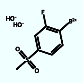 [B+2]c1ccc(S(C)(=O)=O)cc1F.[OH-].[OH-]